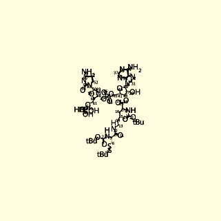 CC(C)(C)OC(=O)N[C@@H](CSSC(C)(C)C)C(=O)NCCCC[C@H](NC(=O)OC(C)(C)C)C(=O)O[C@H]1[C@@H](O)[C@H](n2cnc3c(N)ncnc32)O[C@@H]1COP(=O)(O)O[C@H]1C[C@H](n2ccc(N)nc2=O)O[C@@H]1CO[PH](O)(O)O